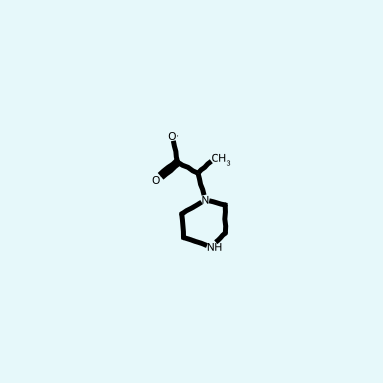 CC(C([O])=O)N1CCNCC1